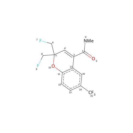 CNC(=O)C1=CC(CF)(CF)Oc2ccc(C(F)(F)F)cc21